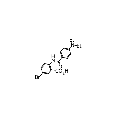 CCN(CC)c1ccc(C(=O)Nc2ccc(Br)cc2C(=O)O)cc1